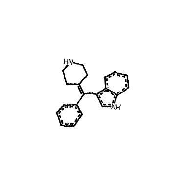 c1ccc(C(=C2CCNCC2)c2c[nH]c3ccccc23)cc1